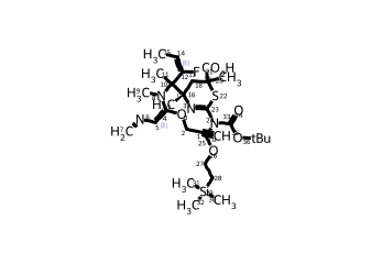 C#CCO/C(=C/N=C)N(C)C(C)(/C(F)=C\C)[C@]1(C)CC(C)(C(=O)O)SC(N(COCC[Si](C)(C)C)C(=O)OC(C)(C)C)=N1